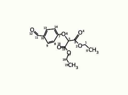 CCOC(=O)C(Oc1ccc(C=O)cc1)C(=O)OCC